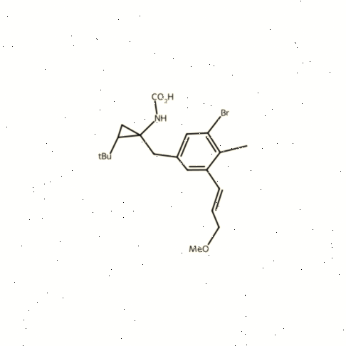 COCC=Cc1cc(CC2(NC(=O)O)CC2C(C)(C)C)cc(Br)c1C